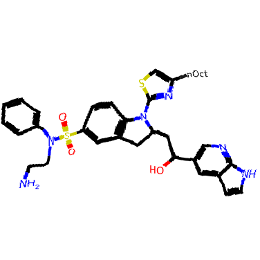 CCCCCCCCc1csc(N2c3ccc(S(=O)(=O)N(CCN)c4ccccc4)cc3CC2CC(O)c2cnc3[nH]ccc3c2)n1